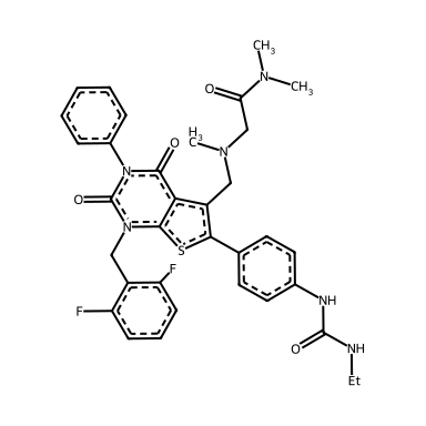 CCNC(=O)Nc1ccc(-c2sc3c(c2CN(C)CC(=O)N(C)C)c(=O)n(-c2ccccc2)c(=O)n3Cc2c(F)cccc2F)cc1